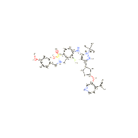 C=C(C)c1ccncc1OC1CCC(c2cc(Nc3ccc4c(c3F)CN(Cc3ccc(OC)cc3)S4(=O)=O)n(C(C)(C)C)n2)C1